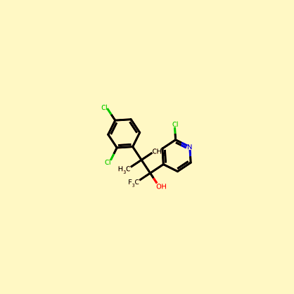 CC(C)(c1ccc(Cl)cc1Cl)C(O)(c1ccnc(Cl)c1)C(F)(F)F